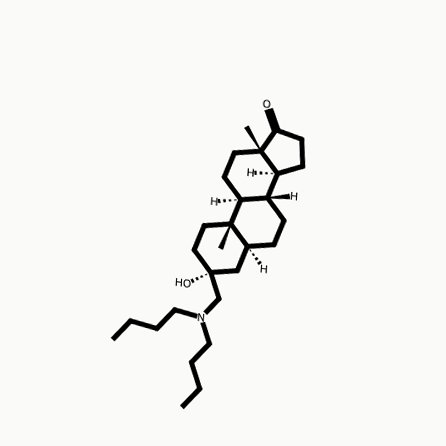 CCCCN(CCCC)C[C@@]1(O)CC[C@@]2(C)[C@@H](CC[C@@H]3[C@@H]2CC[C@]2(C)C(=O)CC[C@@H]32)C1